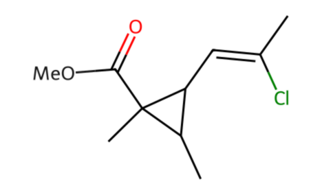 COC(=O)C1(C)C(C)C1C=C(C)Cl